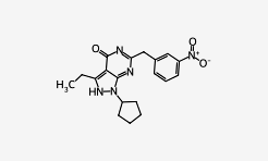 CCc1[nH]n(C2CCCC2)c2nc(Cc3cccc([N+](=O)[O-])c3)nc(=O)c1-2